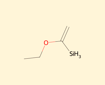 C=C([SiH3])OCC